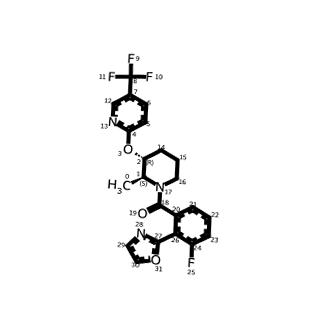 C[C@H]1[C@H](Oc2ccc(C(F)(F)F)cn2)CCCN1C(=O)c1cccc(F)c1-c1ncco1